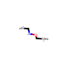 CCCC[N]OCOC